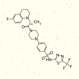 C[C@H](C(=O)N1CCN(c2ccc(S(=O)(=O)Nc3nnc(C(F)(F)F)s3)cc2)CC1)N1CCCc2cc(F)ccc21